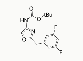 CC(C)(C)OC(=O)Nc1coc(Cc2cc(F)cc(F)c2)n1